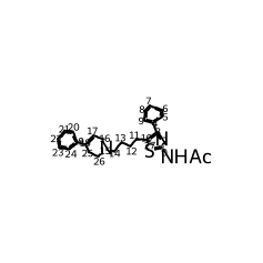 CC(=O)Nc1nc(-c2ccccc2)c(CCCCN2CC=C(c3ccccc3)CC2)s1